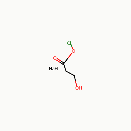 O=C(CCO)OCl.[NaH]